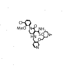 COc1c(Cl)cccc1N1CCC(NCc2ccncc2OCC2CN(C)CCO2)=C(C(N)=S)C1=O